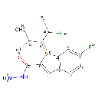 NNC(=O)C1=Cc2ccc(F)cc2S1=C(C(F)F)C(F)C=O